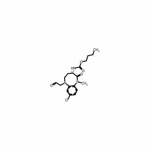 CCCCOC(=O)N[C@H]1CCN(CC=O)c2cc(Cl)ccc2N(C)C1=O